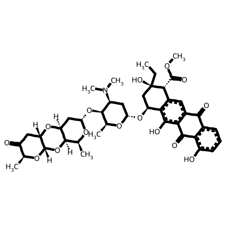 CC[C@@]1(O)C[C@H](O[C@H]2C[C@H](N(C)C)[C@H](O[C@H]3C[C@@H]4O[C@H]5CC(=O)[C@H](C)O[C@H]5O[C@@H]4[C@H](C)O3)[C@H](C)O2)c2c(cc3c(c2O)C(=O)c2c(O)cccc2C3=O)[C@H]1C(=O)OC